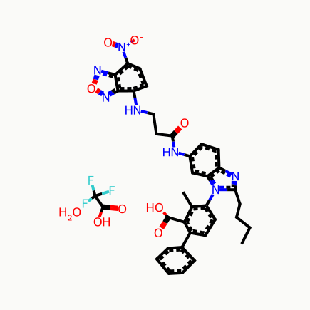 CCCCc1nc2ccc(NC(=O)CCNc3ccc([N+](=O)[O-])c4nonc34)cc2n1-c1ccc(-c2ccccc2)c(C(=O)O)c1C.O.O=C(O)C(F)(F)F